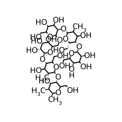 CC1C(O)[C@H](O[C@@H]2OC(CO)[C@H](O)C(O)[C@@H]2O)[C@H](CO)O[C@H]1O[C@@H]1C(O)[C@H](O)C(CO)O[C@@H]1OCC1O[C@@H](O[C@@H]2C(CO)O[C@@H](O[C@@H]3C(CO)O[C@@H](C)[C@@H](C)C3O)[C@@H](C)C2O)[C@H](O)C(O)[C@@H]1O